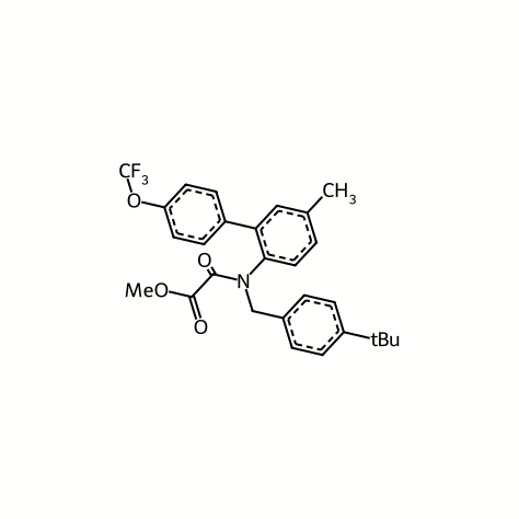 COC(=O)C(=O)N(Cc1ccc(C(C)(C)C)cc1)c1ccc(C)cc1-c1ccc(OC(F)(F)F)cc1